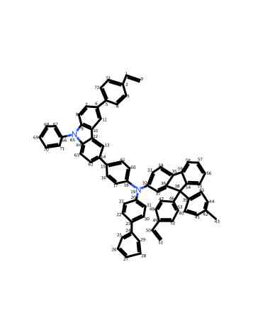 C=Cc1ccc(-c2ccc3c(c2)c2cc(-c4ccc(N(c5ccc(-c6ccccc6)cc5)c5ccc6c(c5)C(c5ccc(C)cc5)(c5ccc(C=C)cc5)c5ccccc5-6)cc4)ccc2n3-c2ccccc2)cc1